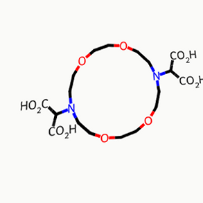 O=C(O)C(C(=O)O)N1CCOCCOCCN(C(C(=O)O)C(=O)O)CCOCCOCC1